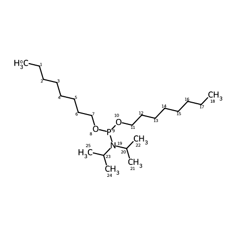 CCCCCCCCOP(OCCCCCCCC)N(C(C)C)C(C)C